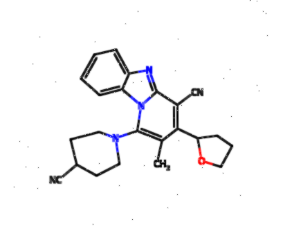 Cc1c(C2CCCO2)c(C#N)c2nc3ccccc3n2c1N1CCC(C#N)CC1